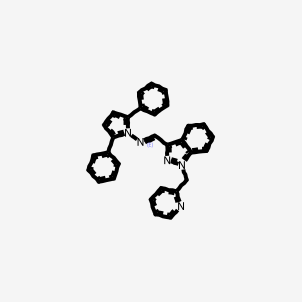 C(=N\n1c(-c2ccccc2)ccc1-c1ccccc1)/c1nn(Cc2ccccn2)c2ccccc12